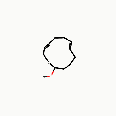 CCOC1CC/C=C/CC/C=C/CCC1